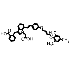 Cc1cc(C)c(OC/C=C/COc2ccc(C=Cc3cccc4c(Cc5ccccc5C(=O)O)cn(CC(=O)O)c34)cc2)c(C)c1